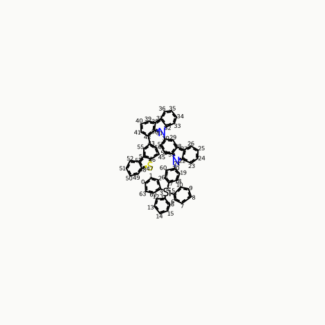 c1ccc([Si](c2ccccc2)(c2ccccc2)c2ccc(-n3c4ccccc4c4cc(-n5c6ccccc6c6cccc(-c7ccc8sc9ccccc9c8c7)c65)ccc43)cc2)cc1